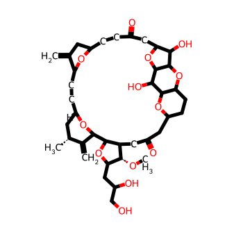 C=C1CC2CCC(=O)CC3OC4C(O)C5OC(CCC5OC4C3O)CC(=O)CC3C(OC(CC(O)CO)[C@H]3OC)C3O[C@@H](CCC1O2)C[C@@H](C)C3=C